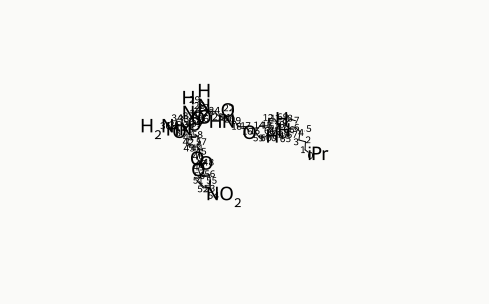 CC(C)CCC[C@@H](C)[C@H]1CC[C@H]2[C@@H]3CC=C4C[C@@H](OCCCNC(=O)CCC(=O)N[C@@H](C)C(=O)N[C@@H](CC(N)=O)C(=O)Nc5ccc(COC(=O)Oc6ccc([N+](=O)[O-])cc6)cc5)CC[C@]4(C)[C@H]3CC[C@]12C